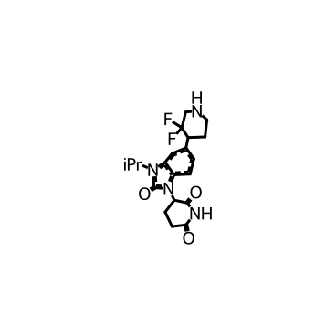 CC(C)n1c(=O)n(C2CCC(=O)NC2=O)c2ccc(C3CCNCC3(F)F)cc21